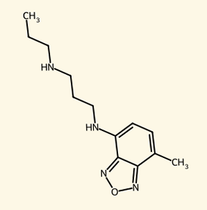 CCCNCCCNc1ccc(C)c2nonc12